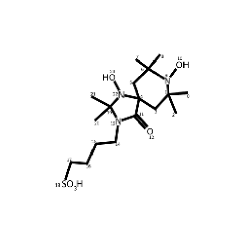 CC1(C)CC2(CC(C)(C)N1O)C(=O)N(CCCCS(=O)(=O)O)C(C)(C)N2O